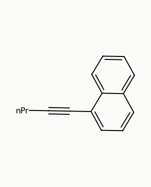 CCCC#Cc1cccc2ccccc12